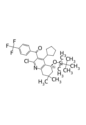 CC1(C)Cc2nc(Cl)c(C(=O)c3ccc(C(F)(F)F)cc3)c(C3CCCC3)c2[C@@H](O[Si](C)(C)C(C)(C)C)C1